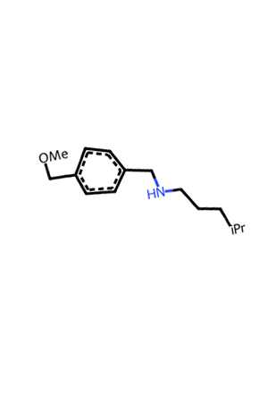 COCc1ccc(CNCCCC(C)C)cc1